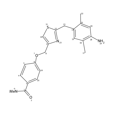 CNC(=O)c1ccc(OCc2csc(Cc3cc(C)c(N)cc3C)n2)cc1